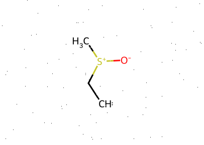 [CH]C[S+](C)[O-]